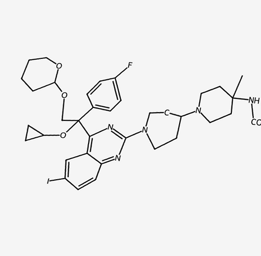 CC1(NC(=O)O)CCN(C2CCN(c3nc(C(COC4CCCCO4)(OC4CC4)c4ccc(F)cc4)c4cc(I)ccc4n3)CC2)CC1